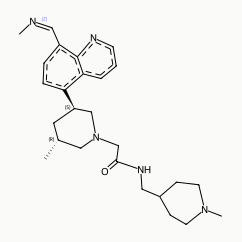 C/N=C\c1ccc([C@@H]2C[C@@H](C)CN(CC(=O)NCC3CCN(C)CC3)C2)c2cccnc12